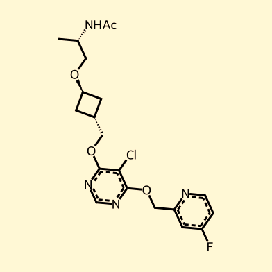 CC(=O)N[C@@H](C)CO[C@H]1C[C@H](COc2ncnc(OCc3cc(F)ccn3)c2Cl)C1